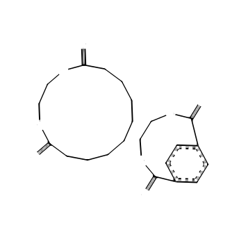 O=C1CCCCCCCCC(=O)OCCO1.O=C1OCCOC(=O)c2ccc1cc2